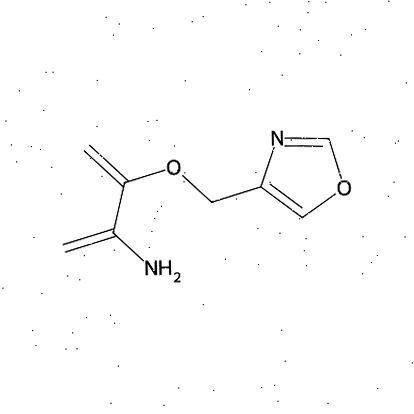 C=C(N)C(=C)OCc1cocn1